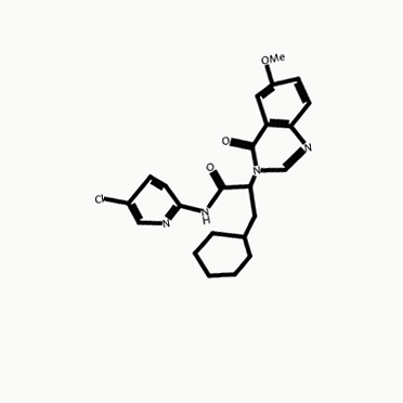 COc1ccc2ncn(C(CC3CCCCC3)C(=O)Nc3ccc(Cl)cn3)c(=O)c2c1